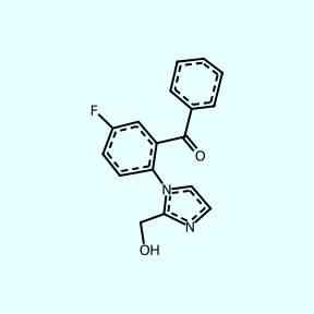 O=C(c1ccccc1)c1cc(F)ccc1-n1ccnc1CO